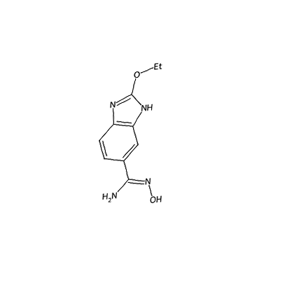 CCOc1nc2ccc(C(N)=NO)cc2[nH]1